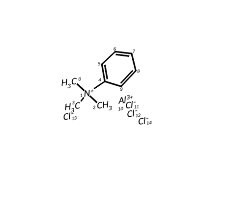 C[N+](C)(C)c1ccccc1.[Al+3].[Cl-].[Cl-].[Cl-].[Cl-]